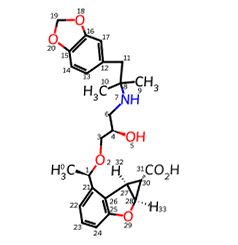 C[C@@H](OC[C@H](O)CNC(C)(C)Cc1ccc2c(c1)OCO2)c1cccc2c1[C@@H]1[C@H](O2)[C@H]1C(=O)O